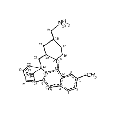 Cc1ccc2nc3n(c(=O)c2c1)C1(CC2CCCC(CN)C2)C=CC=C3C1=S